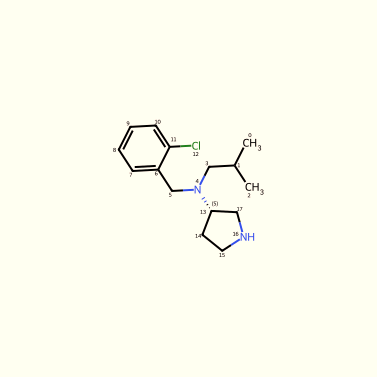 CC(C)CN(Cc1ccccc1Cl)[C@H]1CCNC1